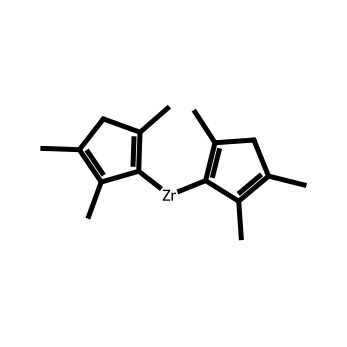 CC1=C(C)[C]([Zr][C]2=C(C)CC(C)=C2C)=C(C)C1